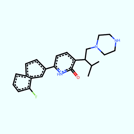 CC(C)C(CN1CCNCC1)c1ccc(-c2ccc3cccc(F)c3c2)[nH]c1=O